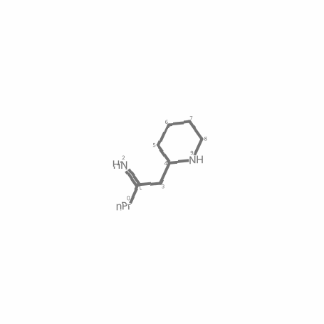 CCCC(=N)CC1CCCCN1